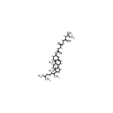 CC(C)CCCC(C)C1CCC2C3CC=C4CC(OC(=O)CCC(=O)OCC(O)CN(C)C)CCC4(C)C3CCC12C